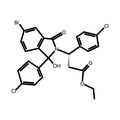 CCOC(=O)C[C@@H](c1ccc(Cl)cc1)N1C(=O)c2cc(Br)ccc2C1(O)c1ccc(Cl)cc1